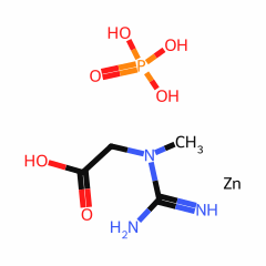 CN(CC(=O)O)C(=N)N.O=P(O)(O)O.[Zn]